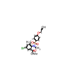 C#CCOc1ccc(S(=O)(=O)N(C)c2c(C)cc(Br)cc2C(=O)OC)cc1